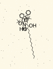 CCCCCCCCCCCCCC[C@@H](O)[C@@H](O)[C@H](CO[Si](c1ccccc1)(c1ccccc1)C(C)(C)C)NC(=O)OC(C)(C)C